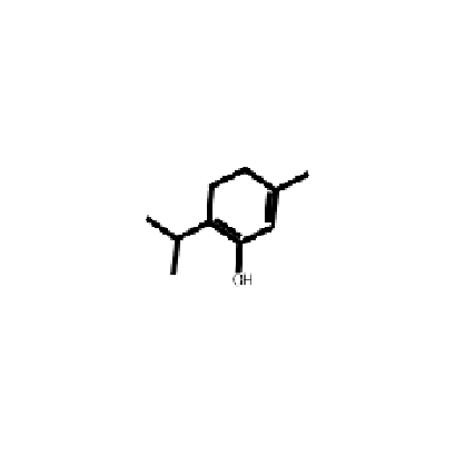 CC1=CC(O)=C(C(C)C)[CH]C1